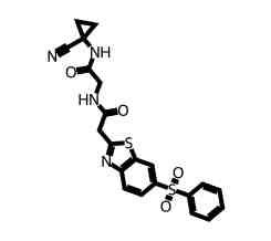 N#CC1(NC(=O)CNC(=O)Cc2nc3ccc(S(=O)(=O)c4ccccc4)cc3s2)CC1